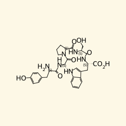 C[C@H](NC(=O)[C@@H](N)Cc1ccc(O)cc1)C(=O)N1CCC[C@H]1C(=O)N[C@@H](CO)C(=O)N[C@@H](Cc1c[nH]c2ccccc12)C(=O)O